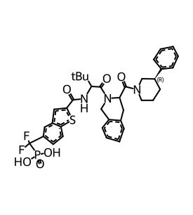 CC(C)(C)C(NC(=O)c1cc2cc(C(F)(F)P(=O)(O)O)ccc2s1)C(=O)N1Cc2ccccc2CC1C(=O)N1CCC[C@H](c2ccccc2)C1